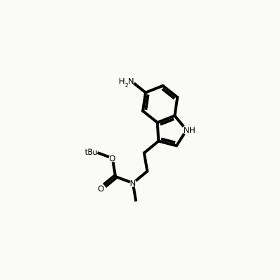 CN(CCc1c[nH]c2ccc(N)cc12)C(=O)OC(C)(C)C